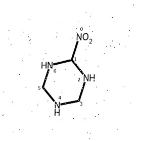 O=[N+]([O-])C1NCNCN1